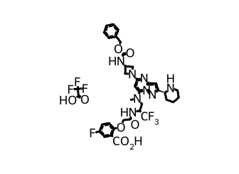 CN(CC(NC(=O)COc1ccc(F)cc1C(=O)O)C(F)(F)F)c1cc(N2CC(NC(=O)OCc3ccccc3)C2)nc2cc([C@@H]3CCCCN3)nn12.O=C(O)C(F)(F)F